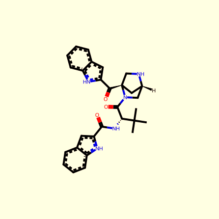 CC(C)(C)[C@H](NC(=O)c1cc2ccccc2[nH]1)C(=O)N1C[C@@H]2C[C@@]1(C(=O)c1cc3ccccc3[nH]1)CN2